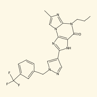 CCCn1c(=O)c2[nH]c(-c3cnn(Cc4cccc(C(F)(F)F)c4)c3)nc2n2cc(C)nc12